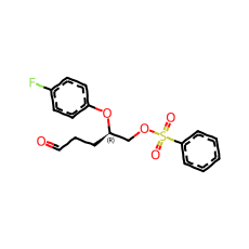 O=CCC[C@H](COS(=O)(=O)c1ccccc1)Oc1ccc(F)cc1